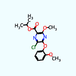 COc1ccccc1Oc1nc(OC)c(C(=O)OC(C)C)nc1Cl